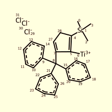 C[Si](C)(C)C1=[C]([Ti+3])C(C(c2ccccc2)(c2ccccc2)c2ccccc2)=CC1.[Cl-].[Cl-].[Cl-]